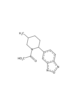 CC1CCC(c2ccc3nonc3c2)N(C(=O)C(=O)O)C1